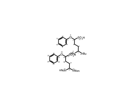 CCCCC(CCCC)CCC(Oc1ccccc1)S(=O)(=O)O.CCCCCCCCCC(CCCCCCCCC)CCC(Oc1ccccc1)S(=O)(=O)O